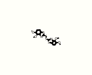 COc1ccc2sc(SSc3nc4c(OC)c(OC)ccc4s3)nc2c1OC